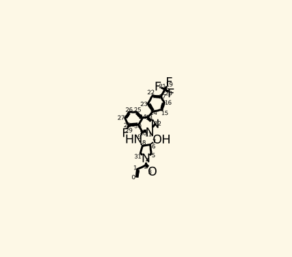 C=CC(=O)N1C[C@H](O)[C@H](Nc2nnc(-c3ccc(C(F)(F)F)cc3)c3cccc(F)c23)C1